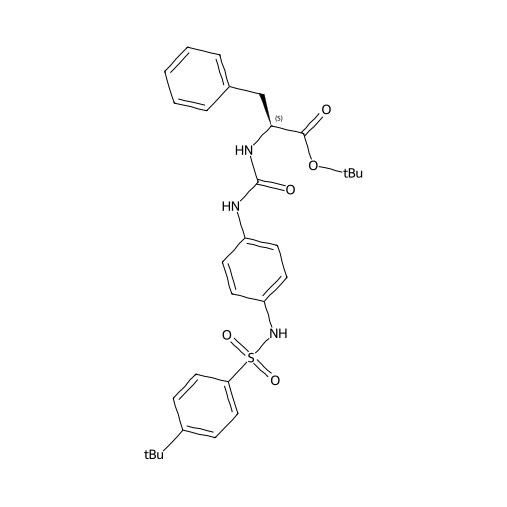 CC(C)(C)OC(=O)[C@H](Cc1ccccc1)NC(=O)Nc1ccc(NS(=O)(=O)c2ccc(C(C)(C)C)cc2)cc1